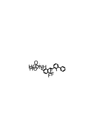 Cc1c(/C=C/c2cc(CN[C@@](C)(CO)C(=O)O)ccc2C(F)(F)F)cccc1-c1ccccc1